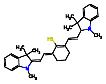 CN1/C(=C/C=C2\CCCC(/C=C/C3N(C)c4ccccc4C3(C)C)=C2S)C(C)(C)c2ccccc21